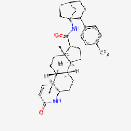 C[C@]12C=CC(=O)NC1CC[C@@H]1[C@H]2CC[C@]2(C)C(C(=O)NC34CCC(CCC3c3ccc(C(F)(F)F)cc3)C4)CC[C@@H]12